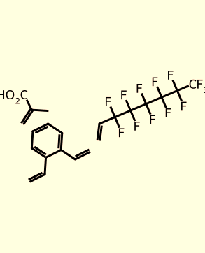 C=C(C)C(=O)O.C=CC(F)(F)C(F)(F)C(F)(F)C(F)(F)C(F)(F)C(F)(F)F.C=Cc1ccccc1C=C